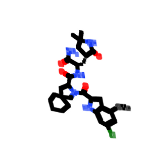 COc1cc(Cl)cc2[nH]c(C(=O)N3CC4(CCCCC4)C[C@H]3C(=O)N[C@@H](C[C@@H]3CC(C)(C)NC3=O)C(N)=O)cc12